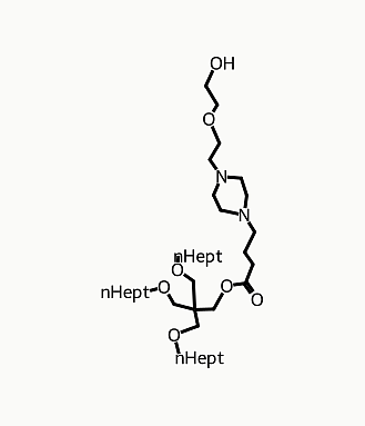 CCCCCCCOCC(COCCCCCCC)(COCCCCCCC)COC(=O)CCCN1CCN(CCOCCO)CC1